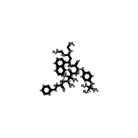 CCOC(CC(NC(=O)[C@H](Cc1ccc(OC(C)(C)C)cc1)NC(=O)C(C)(C)N(C)NC(=O)NCc1ccccc1)c1cccc2ccccc12)OCC